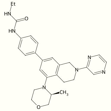 CCNC(=O)Nc1ccc(-c2cc3c(c(N4CCOC[C@@H]4C)c2)CCN(c2cnccn2)C3)cc1